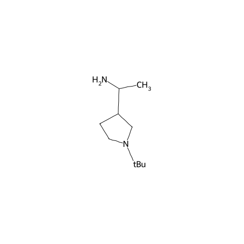 CC(N)C1CCN(C(C)(C)C)C1